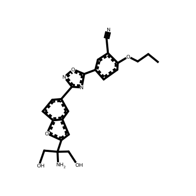 CCCOc1ccc(-c2nc(-c3ccc4oc(C(N)(CO)CO)cc4c3)no2)cc1C#N